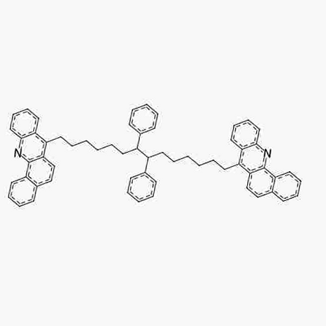 c1ccc(C(CCCCCCc2c3ccccc3nc3c2ccc2ccccc23)C(CCCCCCc2c3ccccc3nc3c2ccc2ccccc23)c2ccccc2)cc1